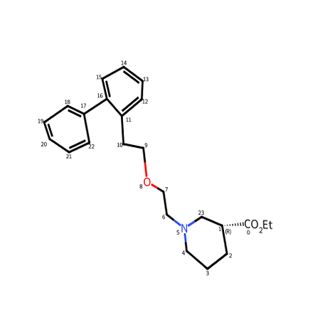 CCOC(=O)[C@@H]1CCCN(CCOCCc2ccccc2-c2ccccc2)C1